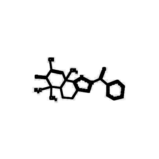 CC1(C)C(=O)C(C#N)=CC2(C)c3nn(C(=O)c4ccccc4)cc3CCC12